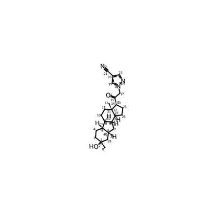 C[C@@]1(O)CC[C@H]2[C@H](C[C@@H]3[C@@H]2CC[C@]2(C)[C@@H](C(=O)Cn4cc(C#N)cn4)CC[C@@H]32)C1